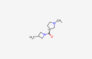 CC1CN(C(=O)[C@H]2CCN(C)C2)C1